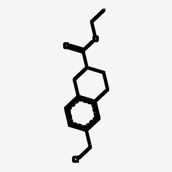 CCOC(=O)C1CCc2cc(CCl)ccc2C1